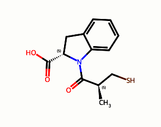 C[C@H](CS)C(=O)N1c2ccccc2C[C@H]1C(=O)O